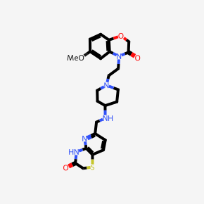 COc1ccc2c(c1)N(CCN1CCC(NCc3ccc4c(n3)NC(=O)CS4)CC1)C(=O)CO2